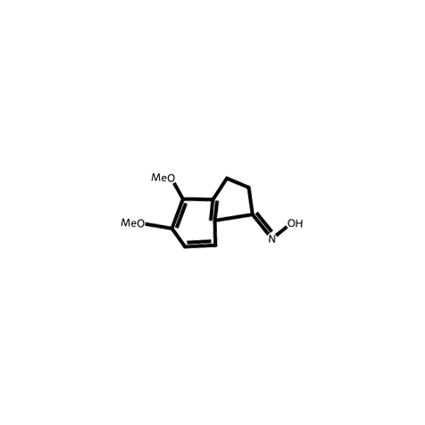 COc1ccc2c(c1OC)CC/C2=N\O